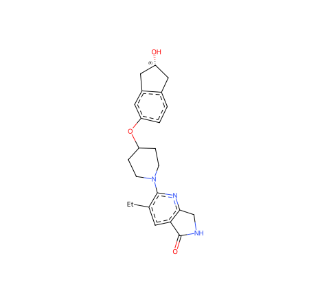 CCc1cc2c(nc1N1CCC(Oc3ccc4c(c3)C[C@H](O)C4)CC1)CNC2=O